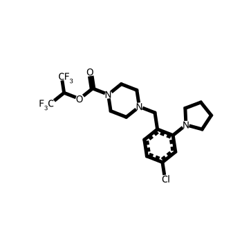 O=C(OC(C(F)(F)F)C(F)(F)F)N1CCN(Cc2ccc(Cl)cc2N2CCCC2)CC1